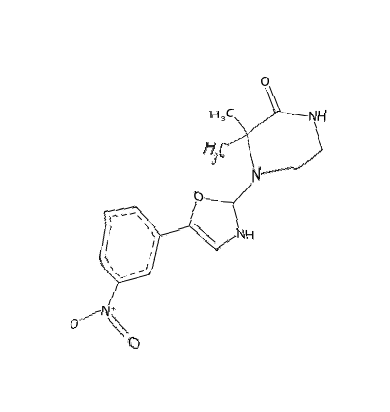 CC1(C)C(=O)NCCN1C1NC=C(c2cccc([N+](=O)[O-])c2)O1